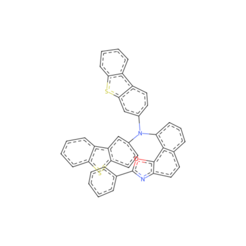 c1ccc(-c2nc3ccc4cccc(N(c5ccc6c(c5)sc5ccccc56)c5ccc6sc7ccccc7c6c5)c4c3o2)cc1